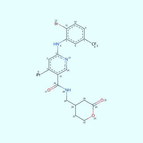 CC(C)c1cc(Nc2cc(C(F)(F)F)ccc2Br)ncc1C(=O)NCC1CCOC(=O)C1